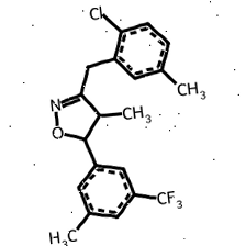 Cc1cc(C2ON=C(Cc3cc(C)ccc3Cl)C2C)cc(C(F)(F)F)c1